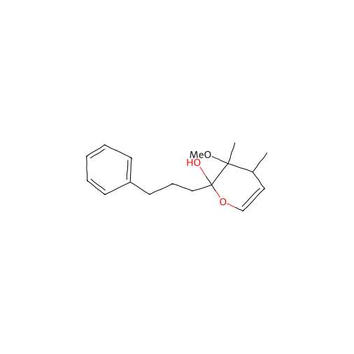 COC1(C)C(C)C=COC1(O)CCCc1ccccc1